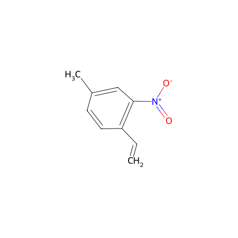 C=Cc1ccc(C)cc1[N+](=O)[O-]